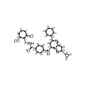 O=C(NCc1c(Cl)cccc1Cl)c1ccc(Nc2cc(-c3ccccc3)nc3cc(C4CC4)nn23)cc1